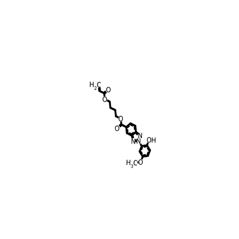 C=CC(=O)OCCCCOC(=O)c1ccc2nn(-c3cc(OC)ccc3O)nc2c1